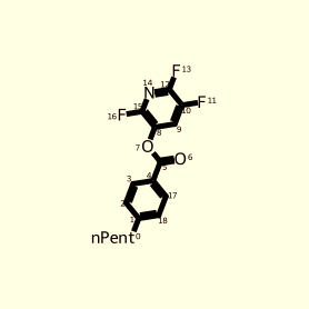 CCCCCc1ccc(C(=O)Oc2cc(F)c(F)nc2F)cc1